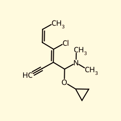 C#C/C(=C(Cl)\C=C/C)C(OC1CC1)N(C)C